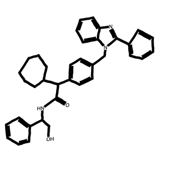 O=C(NC(CO)c1ccccc1)C(c1ccc(Cn2c(-c3ccccc3)nc3ccccc32)cc1)C1CCCCCC1